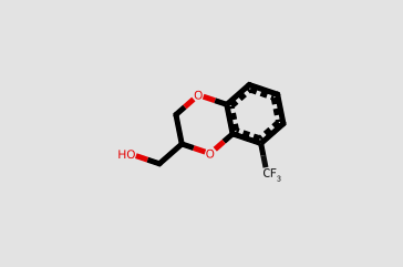 OCC1COc2cccc(C(F)(F)F)c2O1